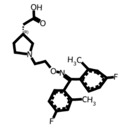 Cc1cc(F)ccc1C(=NOCCN1CC[C@H](CC(=O)O)C1)c1ccc(F)cc1C